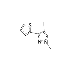 Cn1cc(I)c(-c2cccs2)n1